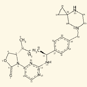 CC(C)[C@H]1COC(=O)N1c1ccnc(N[C@@H](C)c2ccc(CN3CCNC4(CC4)C3)cc2)n1